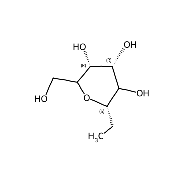 CC[C@@H]1OC(CO)[C@H](O)[C@H](O)C1O